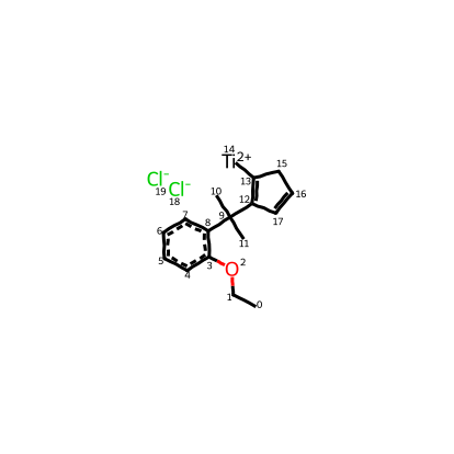 CCOc1ccccc1C(C)(C)C1=[C]([Ti+2])CC=C1.[Cl-].[Cl-]